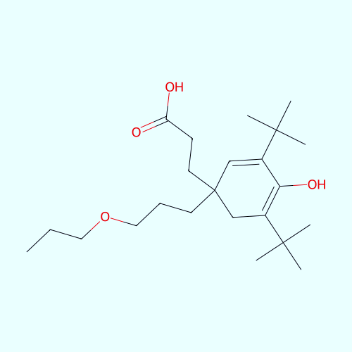 CCCOCCCC1(CCC(=O)O)C=C(C(C)(C)C)C(O)=C(C(C)(C)C)C1